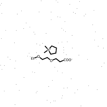 CCOCCOCCC(=O)[O-].C[N+]1(C)CCCC1